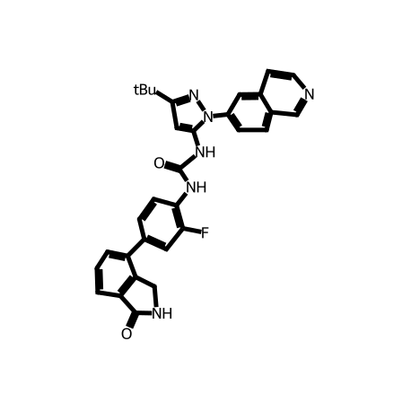 CC(C)(C)c1cc(NC(=O)Nc2ccc(-c3cccc4c3CNC4=O)cc2F)n(-c2ccc3cnccc3c2)n1